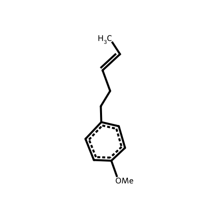 C/C=C/CCc1ccc(OC)cc1